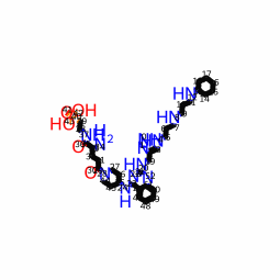 N=N/C(=C\NCCCNCCCNC1CCCCC1)CNc1nc(NC2CCN(C(=O)CC[C@H](N)C(=O)NCCP(=O)(O)O)CC2)c2ccccc2n1